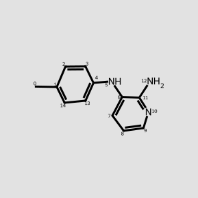 Cc1ccc(Nc2cccnc2N)cc1